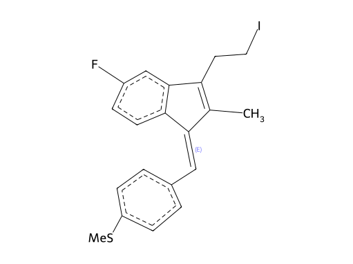 CSc1ccc(/C=C2/C(C)=C(CCI)c3cc(F)ccc32)cc1